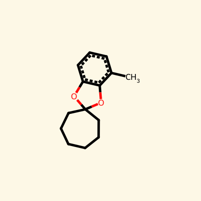 Cc1cccc2c1OC1(CCCCCC1)O2